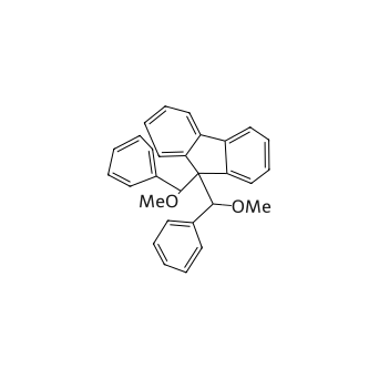 COC(c1ccccc1)C1(C(OC)c2ccccc2)c2ccccc2-c2ccccc21